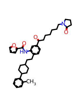 Cc1ccccc1C1CCC(CCc2ccc(C(=O)CCCCCCN3CCCC3=O)cc2NC(=O)c2ccco2)CC1